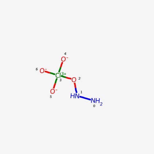 NNO[Cl+3]([O-])([O-])[O-]